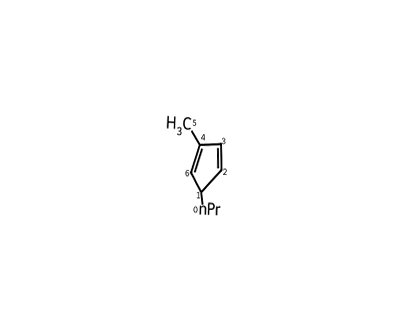 CCCC1C=CC(C)=C1